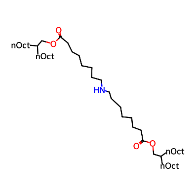 CCCCCCCCC(CCCCCCCC)COC(=O)CCCCCCCNCCCCCCCC(=O)OCC(CCCCCCCC)CCCCCCCC